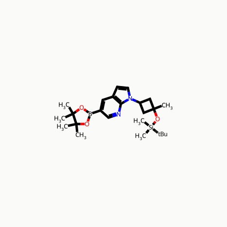 CC1(O[Si](C)(C)C(C)(C)C)CC(n2ccc3cc(B4OC(C)(C)C(C)(C)O4)cnc32)C1